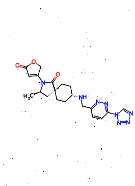 C[C@@H]1C[C@]2(CC[C@@H](NCc3ccc(-n4cnnn4)nn3)CC2)C(=O)N1C1=CC(=O)OC1